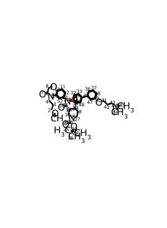 COCCCN1C(=O)COc2ccc(N(C(=O)[C@H]3CN(C(=O)OC(C)(C)C)CC[C@@H]3c3cccc(-c4cccc(OCCCN(C)C)c4)c3)C3CC3)cc21